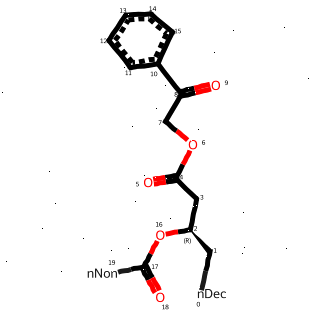 CCCCCCCCCCC[C@H](CC(=O)OCC(=O)c1ccccc1)OC(=O)CCCCCCCCC